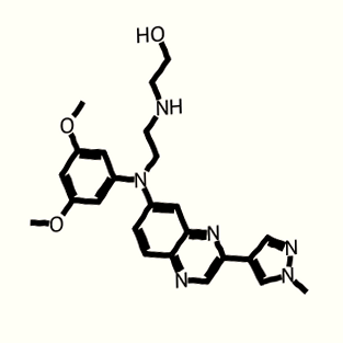 COc1cc(OC)cc(N(CCNCCO)c2ccc3ncc(-c4cnn(C)c4)nc3c2)c1